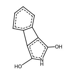 Oc1[nH]c(O)c2c1-c1ccccc1-2